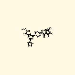 CONC(=O)c1cc(N2CCC(NC(=O)c3[nH]c(C)c(Cl)c3Cl)CC2)nc(N2CCCC2)n1